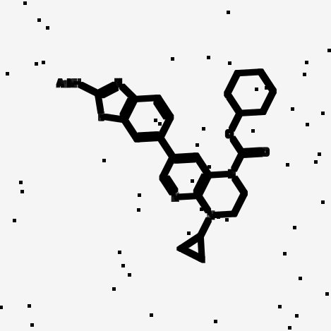 CC(=O)Nc1nc2ccc(-c3cnc4c(c3)N(C(=O)OC3CCCCC3)CCN4C3CC3)cc2s1